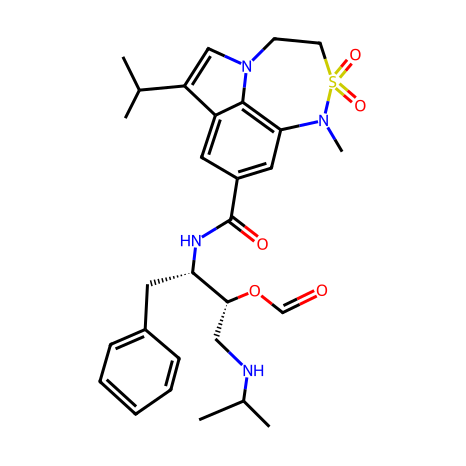 CC(C)NC[C@@H](OC=O)[C@H](Cc1ccccc1)NC(=O)c1cc2c3c(c1)c(C(C)C)cn3CCS(=O)(=O)N2C